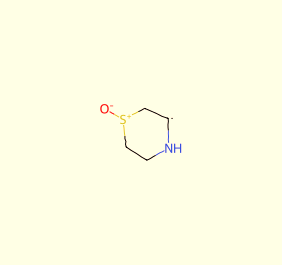 [O-][S+]1C[CH]NCC1